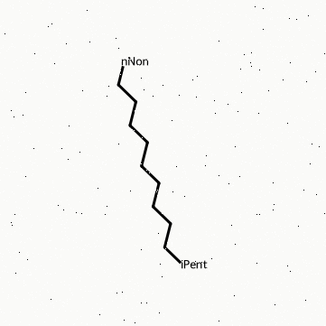 [CH2]C(CCC)CCCCCCCCCCCCCCCCCC